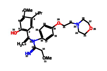 C=C(c1cc(C(C)C)c(OC)cc1O)N(C(=N)COC)c1ccc(OCCN2CCOCC2)cc1